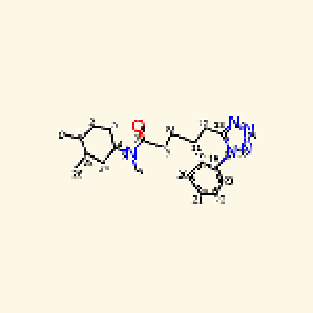 CC1CCC(N(C)C(=O)CCCCc2nnnn2-c2ccccc2)CC1C